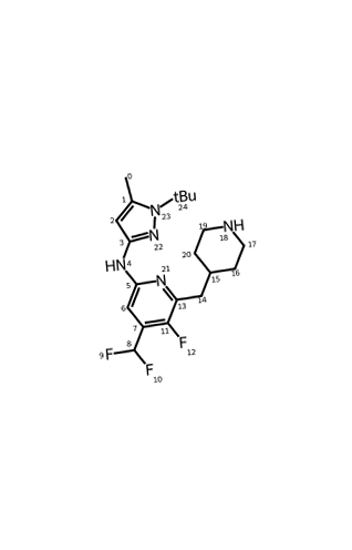 Cc1cc(Nc2cc(C(F)F)c(F)c(CC3CCNCC3)n2)nn1C(C)(C)C